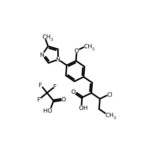 CCC(Cl)/C(=C/c1ccc(-n2cnc(C)c2)c(OC)c1)C(=O)O.O=C(O)C(F)(F)F